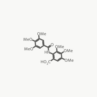 COc1cc(C(=O)Nc2c(C(=O)O)cc(OC)c(OC)c2OC)cc(OC)c1OC